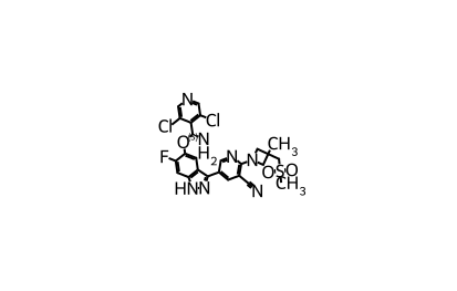 CC1(CS(C)(=O)=O)CN(c2ncc(-c3n[nH]c4cc(F)c(O[C@H](N)c5c(Cl)cncc5Cl)cc34)cc2C#N)C1